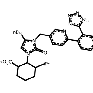 CCCCc1cn(C2C(C(=O)O)CCCC2C(C)C)c(=O)n1Cc1ccc(-c2ccccc2-c2nnn[nH]2)nc1